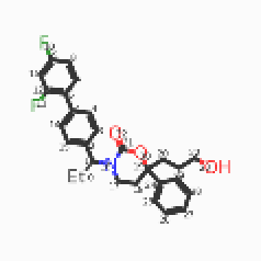 CC[C@@H](c1ccc(-c2ccc(F)cc2F)cc1)N1CCC(CCCO)(c2ccccc2)OC1=O